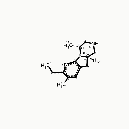 CCc1nc2c(cc1C)C[C@@H]1CNC[C@@H](C)N21